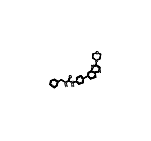 O=C(NCc1ccccc1)Nc1ccc(-c2ccc3ncc(N4CCOCC4)nc3c2)cc1